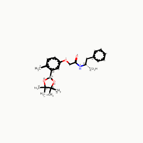 Cc1ccc(OCC(=O)N[C@H](Cc2ccccc2)C(=O)O)cc1B1OC(C)(C)C(C)(C)O1